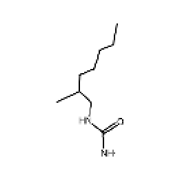 CCCCCC(C)CNC([NH])=O